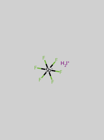 [F][Sb-]([F])([F])([F])([F])[F].[IH2+]